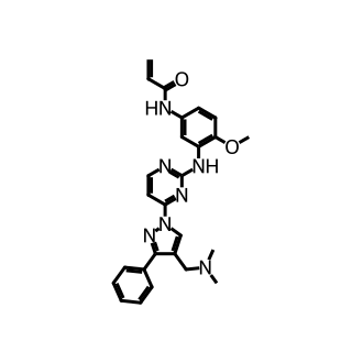 C=CC(=O)Nc1ccc(OC)c(Nc2nccc(-n3cc(CN(C)C)c(-c4ccccc4)n3)n2)c1